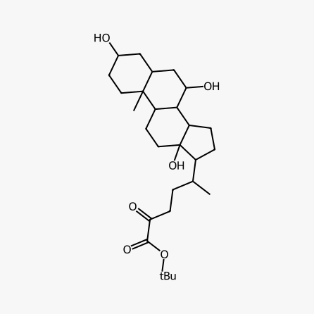 CC(CCC(=O)C(=O)OC(C)(C)C)C1CCC2C3C(O)CC4CC(O)CCC4(C)C3CCC12O